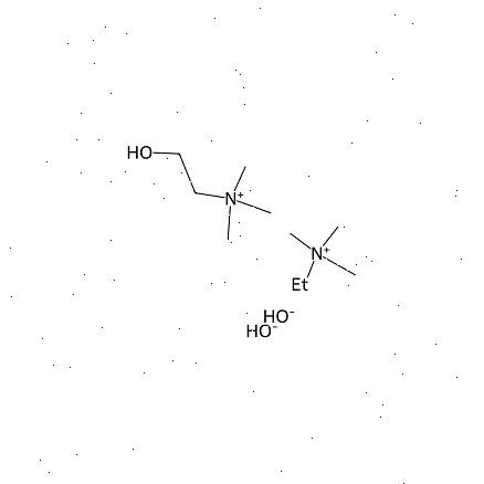 CC[N+](C)(C)C.C[N+](C)(C)CCO.[OH-].[OH-]